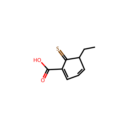 CCC1C=CC=C(C(=O)O)C1=S